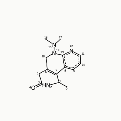 CC1NC(=O)CC2=C1c1cccnc1N(N(C)C)C2